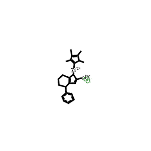 CCCC1=CC2=C(CCCC2c2ccccc2)[CH]1[Zr+2][C]1=C(C)C(C)=C(C)C1C.[Cl-].[Cl-]